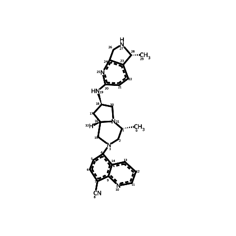 C[C@@H]1CN(c2ccc(C#N)c3ncccc23)C[C@@H]2C[C@@H](Nc3ccc4c(n3)CN[C@@H]4C)CN21